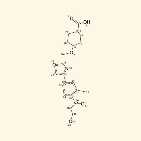 O=C(O)N1CCC(OCc2nc(-c3ccc([S+]([O-])CCO)c(F)c3)no2)CC1